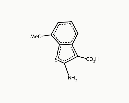 COc1cccc2c(C(=O)O)c(N)sc12